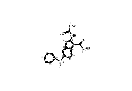 CCNC(=O)n1c(NC(=O)OC)nc2cc([S+]([O-])c3ccccc3)ccc21